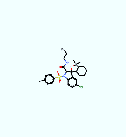 Cc1ccc(S(=O)(=O)N2c3ccc(Cl)cc3C(O[Si](C)(C)C)(C3CCCCC3)C2C(=O)NCCC(C)C)cc1